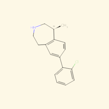 C[C@@H]1CNCCc2cc(-c3ccccc3Cl)ccc21